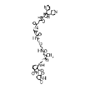 CN(CC(=O)NCCOCCNC(=O)CN1CCN(C(=O)CCC(=O)Nc2cnc(-c3ccncc3)c(-c3cccnc3)n2)CC1)C(=O)CCCNc1cccc2c1C(=O)N(C1CCC(=O)NC1=O)C2=O